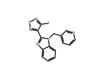 Fc1nsnc1-c1nc2ccccc2n1Cc1cccnc1